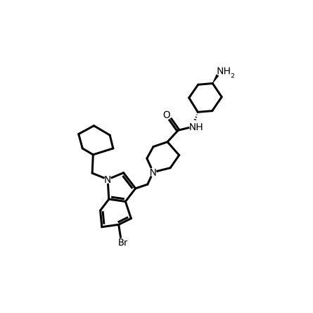 N[C@H]1CC[C@H](NC(=O)C2CCN(Cc3cn(CC4CCCCC4)c4ccc(Br)cc34)CC2)CC1